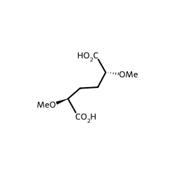 CO[C@@H](CC[C@@H](OC)C(=O)O)C(=O)O